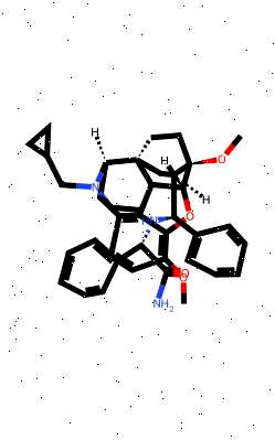 COc1ccc2c3c1O[C@H]1[C@@]4(OC)CC[C@@]5(C[C@@H]4[C@H](N[C@H](C(N)=O)c4ccccc4)c4ccccc4)[C@@H](C2)N(CC2CC2)CC[C@]315